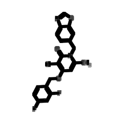 Cc1cc(OCc2ccc(F)cc2F)c(Cl)c(=O)n1Cc1ccc2ncoc2c1